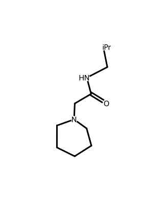 [CH2]C(C)CNC(=O)CN1CCCCC1